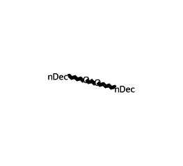 CCCCCCCCCCCCCCCCOC[CH]COCCCCCCCCCCCCCCCC